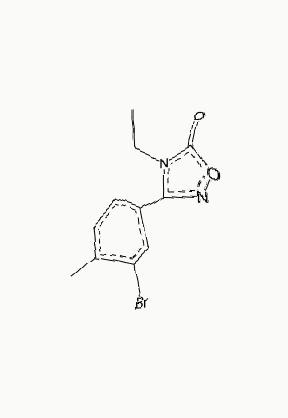 CCn1c(-c2ccc(C)c(Br)c2)noc1=O